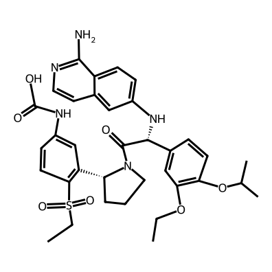 CCOc1cc([C@@H](Nc2ccc3c(N)nccc3c2)C(=O)N2CCC[C@@H]2c2cc(NC(=O)O)ccc2S(=O)(=O)CC)ccc1OC(C)C